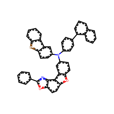 c1ccc(-c2nc3c(ccc4oc5ccc(N(c6ccc(-c7cccc8ccccc78)cc6)c6ccc7sc8ccccc8c7c6)cc5c43)o2)cc1